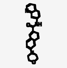 O=C(Nc1ccc2cccnc2c1)c1ccc2cc(N3CCOCC3)ccc2c1